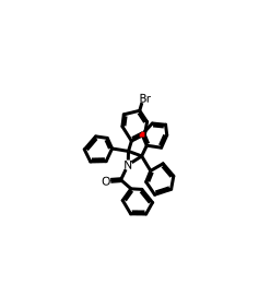 O=C(c1ccccc1)N1C(c2ccccc2)(c2ccccc2)C1(c1ccccc1)c1ccc(Br)cc1